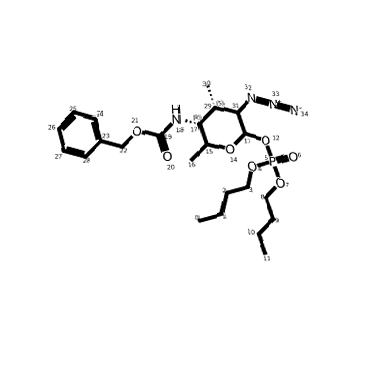 CCCCOP(=O)(OCCCC)OC1OC(C)[C@H](NC(=O)OCc2ccccc2)[C@H](C)C1N=[N+]=[N-]